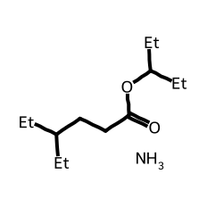 CCC(CC)CCC(=O)OC(CC)CC.N